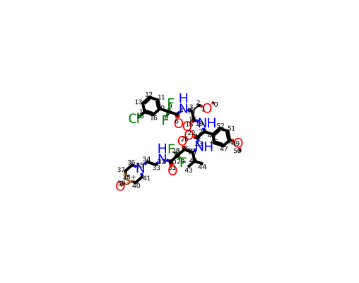 COC[C@H](NC(=O)C(F)(F)c1cccc(Cl)c1)C(=O)NC(C(=O)N[C@H](C(=O)C(F)(F)C(=O)NCCN1CC[S+]([O-])CC1)C(C)C)c1ccc(OC)cc1